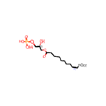 CCCCCCCC/C=C\CCCCCCCC(=O)OC[C@H](O)COP(=O)(O)O